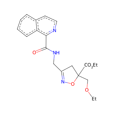 CCOCC1(C(=O)OCC)CC(CNC(=O)c2nccc3ccccc23)=NO1